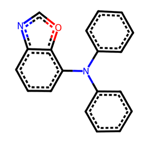 c1ccc(N(c2ccccc2)c2cccc3ncoc23)cc1